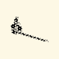 COCCOCCOCCOCCOCCOCCOCCOC(=O)NC1(C(=O)Nc2cccc([C@@H](CN3CC[C@H](O)C3)N(C)C(=O)Cc3ccc(Cl)c(Cl)c3)c2)CC1